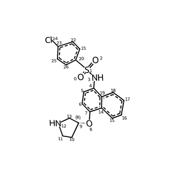 O=S(=O)(Nc1ccc(O[C@@H]2CCNC2)c2ccccc12)c1ccc(Cl)cc1